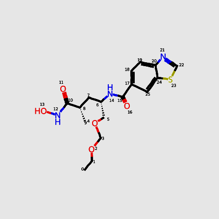 CCOCOC[C@H](C[C@H](C)C(=O)NO)NC(=O)c1ccc2ncsc2c1